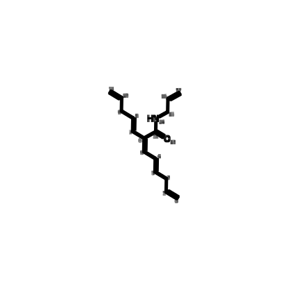 C=CCC=CC=C(C=CCC=C)C(=O)NCC=C